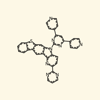 c1cnc(-c2ccc3c(n2)c2cc4c(cc2n3-c2nc(-c3ccncc3)cc(-c3ccncc3)n2)sc2ccccc24)nc1